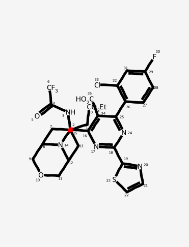 CCOC(=O)CC1(NC(=O)C(F)(F)F)CC2COCC(C1)N2Cc1nc(-c2nccs2)nc(-c2ccc(F)cc2Cl)c1C(=O)O